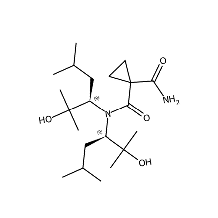 CC(C)C[C@@H](N(C(=O)C1(C(N)=O)CC1)[C@H](CC(C)C)C(C)(C)O)C(C)(C)O